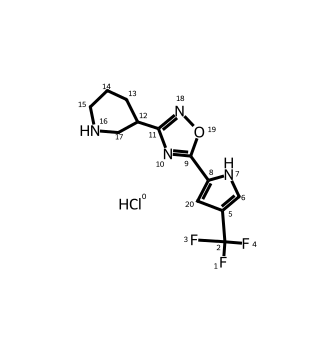 Cl.FC(F)(F)c1c[nH]c(-c2nc(C3CCCNC3)no2)c1